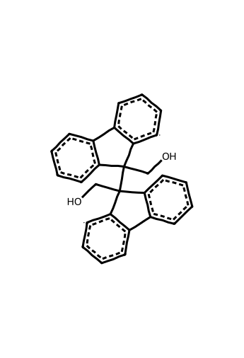 OCC1(C2(CO)c3[c]cccc3-c3ccccc32)c2[c]cccc2-c2ccccc21